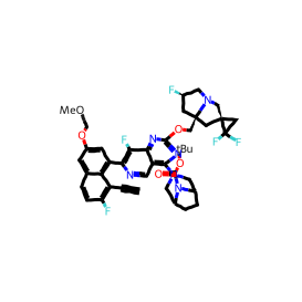 C#Cc1c(F)ccc2cc(OCOC)cc(-c3ncc4c(N5CC6CCC(C5)N6C(=O)OC(C)(C)C)nc(OC[C@@]56C[C@@H](F)CN5C[C@]5(CC5(F)F)C6)nc4c3F)c12